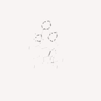 CCCCC1=C(C(OC)OC)N(C(C)(C)C)CN1Cc1ccc(-c2ccccc2-c2nnn[nH]2)cc1